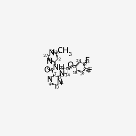 Cc1cc(NC(=O)c2nccnc2N2CC(Oc3ccc(F)c(F)c3)C2)ncn1